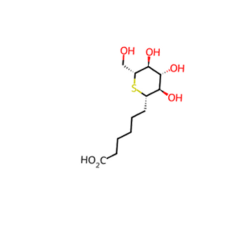 O=C(O)CCCCC[C@@H]1S[C@H](CO)[C@@H](O)[C@H](O)[C@H]1O